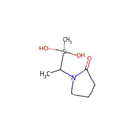 CC(N1CCCC1=O)[Si](C)(O)O